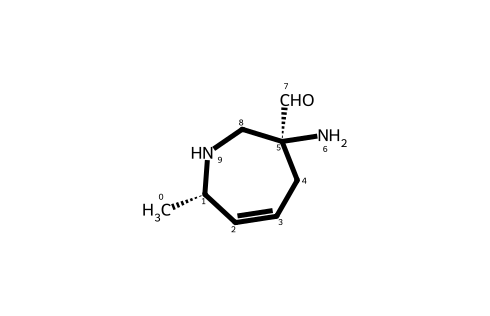 C[C@H]1C=CC[C@@](N)(C=O)CN1